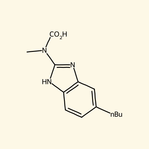 CCCCc1ccc2[nH]c(N(C)C(=O)O)nc2c1